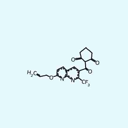 C=CCOc1ccc2cc(C(=O)C3C(=O)CCCC3=O)c(C(F)(F)F)nc2n1